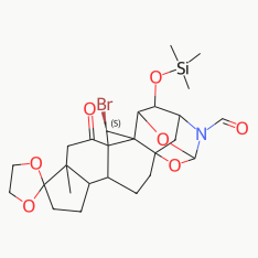 CC12CC(=O)C34C(CCC56CC7C(O[Si](C)(C)C)C(OC(O5)N7C=O)C63[C@@H]4Br)C1CCC21OCCO1